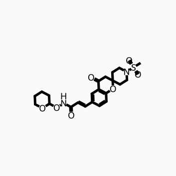 CS(=O)(=O)N1CCC2(CC1)CC(=O)c1cc(C=CC(=O)NOC3CCCCO3)ccc1O2